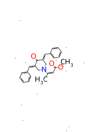 COC(=O)/C=C(/C)N1C/C(=C\c2ccccc2)C(=O)/C(=C/c2ccccc2)C1